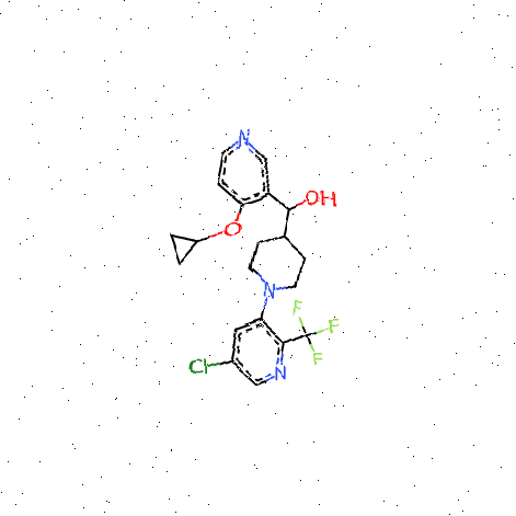 OC(c1cnccc1OC1CC1)C1CCN(c2cc(Cl)cnc2C(F)(F)F)CC1